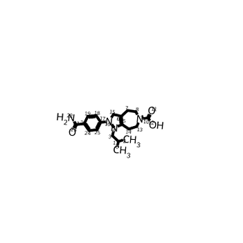 CC(C)CN1C2=C(CCN(C(=O)O)CC2)CN1c1ccc(C(N)=O)cc1